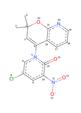 CC1(C)C=C(n2cc(Cl)cc([N+](=O)[O-])c2=O)c2cccnc2O1